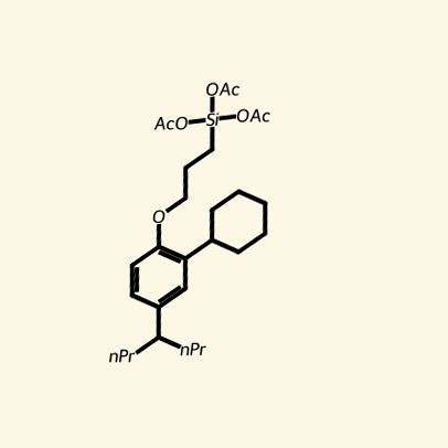 CCCC(CCC)c1ccc(OCCC[Si](OC(C)=O)(OC(C)=O)OC(C)=O)c(C2CCCCC2)c1